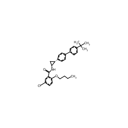 CCCCOc1ccc(Cl)cc1C(=O)N[C@H]1C[C@@H]1c1ccc(-c2ccc(C(C)(C)C)cc2)cc1